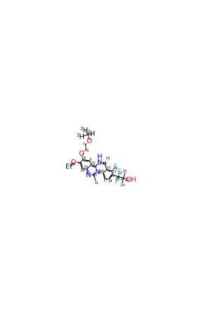 [2H]C([2H])([2H])OCCOc1cc2c(N[C@H](C)c3cccc(C(F)(F)C(C)(C)O)c3F)nc(C)nc2cc1OCC